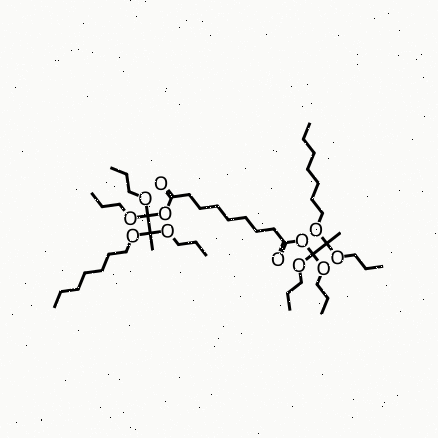 CCCCCCCOC(C)(OCCC)C(OCCC)(OCCC)OC(=O)CCCCCCCC(=O)OC(OCCC)(OCCC)C(C)(OCCC)OCCCCCCC